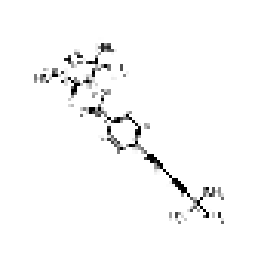 CC(C)(C)C#CC#Cc1ccc(C(=O)N[C@H](C(=O)NO)C(C)(C)N)cc1